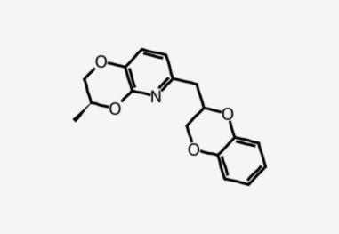 C[C@H]1COc2ccc(CC3COc4ccccc4O3)nc2O1